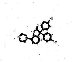 O=C1Nc2c(-c3ccncc3)cccc2C1(c1ccc(O)cc1)c1ccc(O)cc1